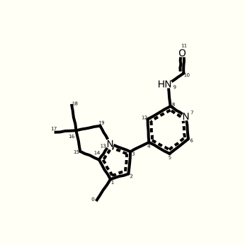 Cc1cc(-c2ccnc(NC=O)c2)n2c1CC(C)(C)C2